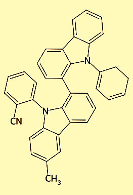 Cc1ccc2c(c1)c1cccc(-c3cccc4c5ccccc5n(C5=CC=CCC5)c34)c1n2-c1ccccc1C#N